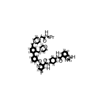 CC(C)NC(=O)CN1CCN(Cc2ccc(-c3cccc(Oc4ncc(F)cc4C(=O)NC4CCC(NC(=O)c5cccc6[nH]cnc56)CC4)c3)c(CN3CCOCC3)c2)CC1